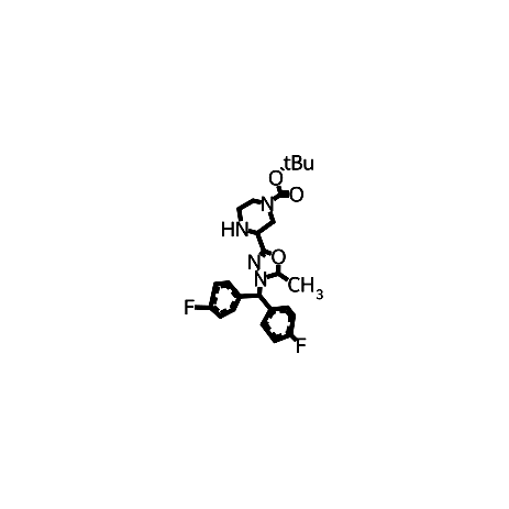 CC1OC(C2CN(C(=O)OC(C)(C)C)CCN2)=NN1C(c1ccc(F)cc1)c1ccc(F)cc1